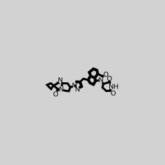 N#CC1(C(=O)N2CCC(n3cc(Cc4ccc5c6c(cccc46)C(=O)N5C4CCC(=O)NC4=O)cn3)CC2)CCC1